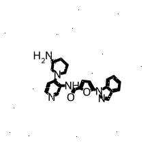 N[C@H]1CCCN(c2ccncc2NC(=O)c2ccc(-n3ncc4ccccc43)o2)C1